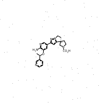 CC(Oc1cc(-c2cc3n(n2)CC[C@@]32CCN(C(=O)O)C2)cnc1N)c1cccnc1